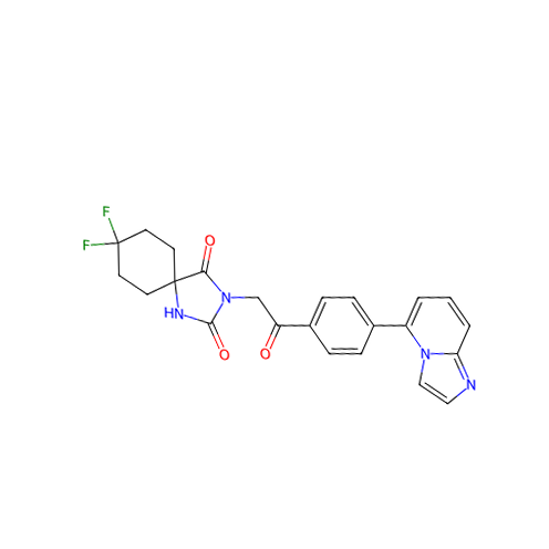 O=C(CN1C(=O)NC2(CCC(F)(F)CC2)C1=O)c1ccc(-c2cccc3nccn23)cc1